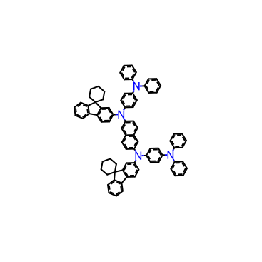 c1ccc(N(c2ccccc2)c2ccc(N(c3ccc4c(c3)C3(CCCCC3)c3ccccc3-4)c3ccc4cc(N(c5ccc(N(c6ccccc6)c6ccccc6)cc5)c5ccc6c(c5)C5(CCCCC5)c5ccccc5-6)ccc4c3)cc2)cc1